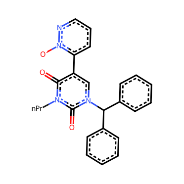 CCCn1c(=O)c(-c2cccn[n+]2[O-])cn(C(c2ccccc2)c2ccccc2)c1=O